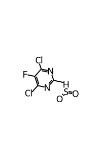 O=[SH](=O)Cc1nc(Cl)c(F)c(Cl)n1